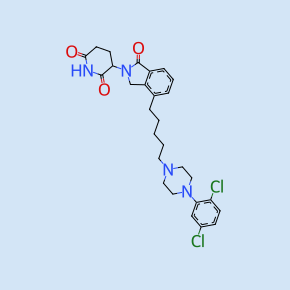 O=C1CCC(N2Cc3c(CCCCCN4CCN(c5cc(Cl)ccc5Cl)CC4)cccc3C2=O)C(=O)N1